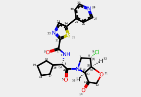 O=C(N[C@H](C(=O)N1C[C@H](Cl)[C@H]2OCC(=O)[C@H]21)C1CCCC1)c1ncc(-c2ccncc2)s1